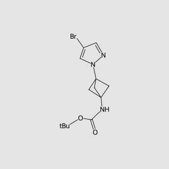 CC(C)(C)OC(=O)NC12CC(n3cc(Br)cn3)(C1)C2